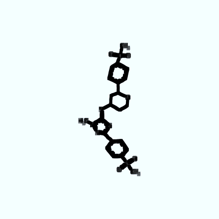 Cn1nc(-c2ccc(S(C)(=O)=O)cc2)sc1=NC1CCOC(c2ccc(S(C)(=O)=O)cc2)C1